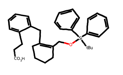 CC(C)(C)[Si](OCC1=C(Cc2ccccc2CCC(=O)O)CCCC1)(c1ccccc1)c1ccccc1